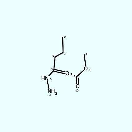 CCCC(=O)NN.COC=O